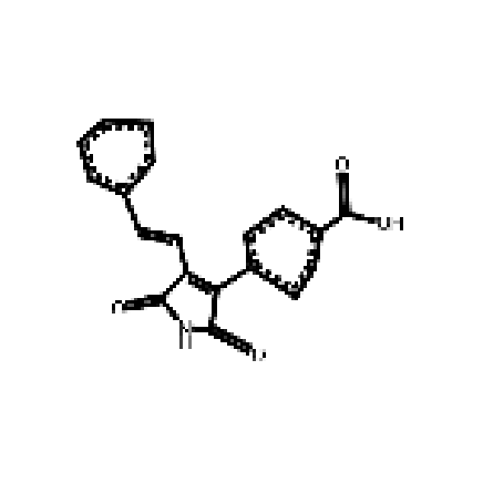 O=C1NC(=O)C(c2ccc(C(=O)O)cc2)=C1C=Cc1ccccc1